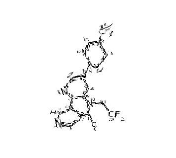 O=c1c2cn[nH]c2c2ncc(-c3ccc(C(F)(F)F)cn3)cc2n1CC(F)(F)F